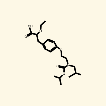 CCOC(Cc1ccc(OCCN(CC(C)C)C(=O)OC(C)C)cc1)C(=O)O